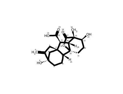 C=C1C[C@]23C[C@@]1(O)CC[C@H]2[C@@]12CC[C@H](O)[C@@](C)(C(=O)O1)[C@H]2[C@@H]3C(=O)O